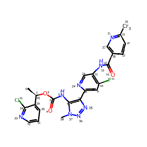 C[C@@H](OC(=O)Nc1c(-c2cc(F)c(NC(=O)c3ccc(C(F)(F)F)nc3)cn2)nnn1C)c1cccnc1Cl